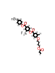 C=CC(=O)OCCCCOc1ccc(C(=O)Oc2ccc(C(=O)Oc3ccc(CCCC)cc3)cc2C(F)(F)F)cc1C